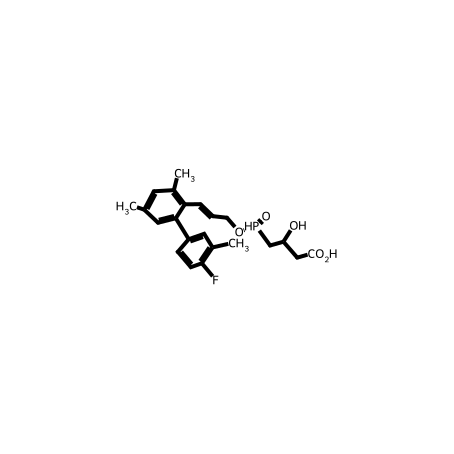 Cc1cc(C)c(C=CCO[PH](=O)CC(O)CC(=O)O)c(-c2ccc(F)c(C)c2)c1